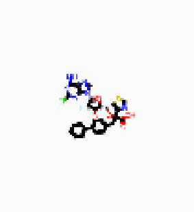 Nc1nc(Cl)nc2c1ncn2[C@@H]1O[C@H](COC(Cc2ccc(-c3ccccc3)cc2)(C(=O)O)c2cscn2)[C@@H](O)[C@@H]1F